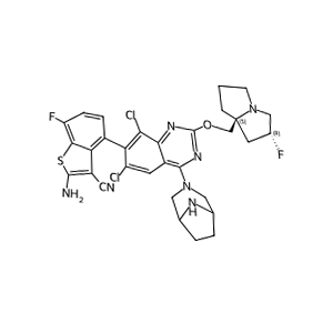 N#Cc1c(N)sc2c(F)ccc(-c3c(Cl)cc4c(N5CC6CCC(C5)N6)nc(OC[C@@]56CCCN5C[C@H](F)C6)nc4c3Cl)c12